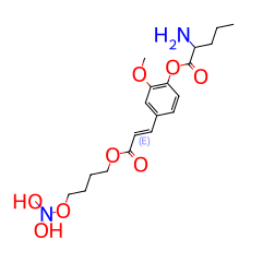 CCCC(N)C(=O)Oc1ccc(/C=C/C(=O)OCCCCON(O)O)cc1OC